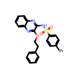 CC(C)c1ccc(S(=O)(=O)Nc2nc3ccccc3nc2OCCc2ccccc2)cc1